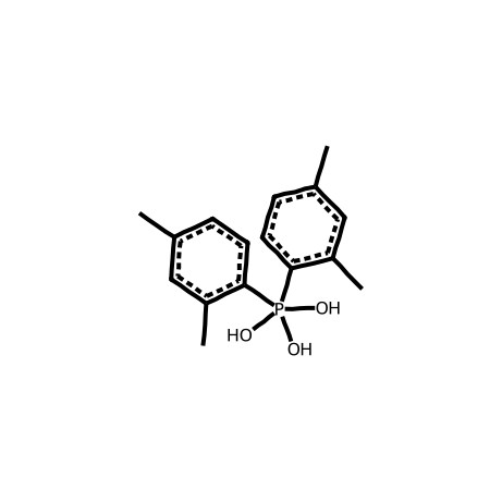 Cc1ccc(P(O)(O)(O)c2ccc(C)cc2C)c(C)c1